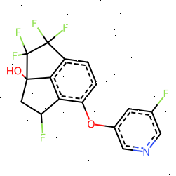 OC12CC(F)c3c(Oc4cncc(F)c4)ccc(c31)C(F)(F)C2(F)F